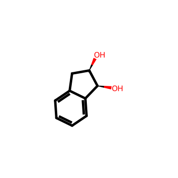 O[C@@H]1Cc2ccccc2[C@@H]1O